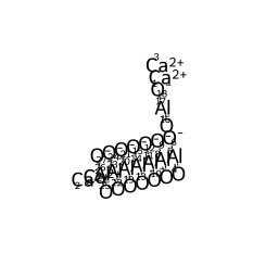 [Ca+2].[Ca+2].[Ca+2].[Ca+2].[O]=[Al][O-].[O]=[Al][O-].[O]=[Al][O-].[O]=[Al][O-].[O]=[Al][O-].[O]=[Al][O-].[O]=[Al][O-].[O]=[Al][O-]